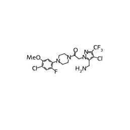 COc1cc(N2CCN(C(=O)Cn3nc(C(F)(F)F)c(Cl)c3CN)CC2)c(F)cc1Cl